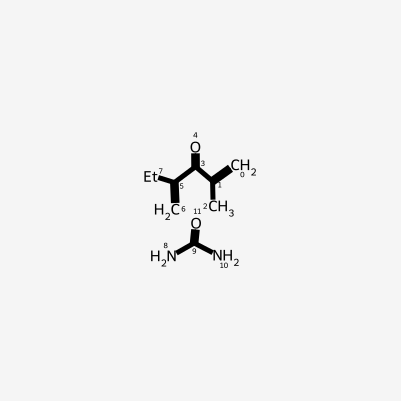 C=C(C)C(=O)C(=C)CC.NC(N)=O